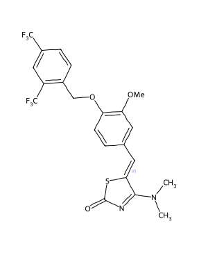 COc1cc(/C=C2\SC(=O)N=C2N(C)C)ccc1OCc1ccc(C(F)(F)F)cc1C(F)(F)F